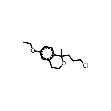 CCOc1ccc2c(c1)CCOC2(C)CCCCl